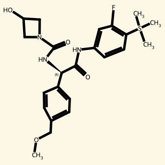 COCc1ccc([C@@H](NC(=O)N2CC(O)C2)C(=O)Nc2ccc(S(C)(C)C)c(F)c2)cc1